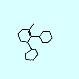 CC1=C(C2CCCCC2)C(C2CCCCC2)CCC1